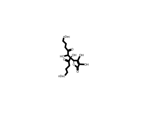 CCCCCCCCCCCCCC(=O)C(O)[C@@](O)(C(=O)CCCCCCCCCCCCC)[C@H]1OC(=O)C(O)=C1O